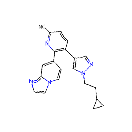 N#Cc1ccc(-c2cnn(CCC3CC3)c2)c(-c2ccn3ccnc3c2)n1